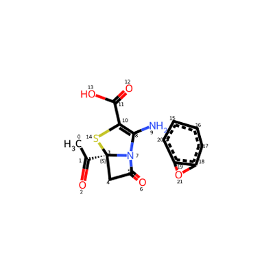 CC(=O)[C@@]12CC(=O)N1C(N)=C(C(=O)O)S2.c1ccc2c(c1)O2